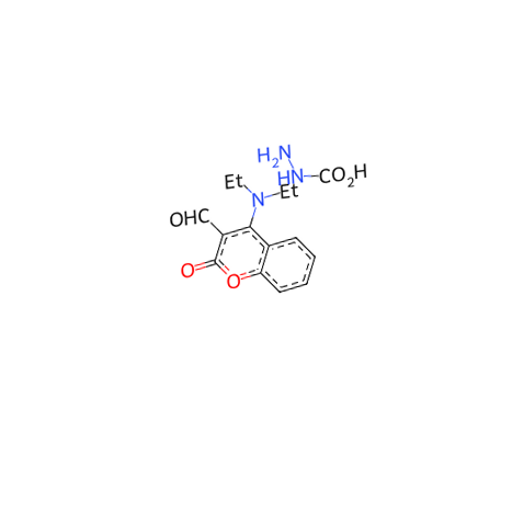 CCN(CC)c1c(C=O)c(=O)oc2ccccc12.NNC(=O)O